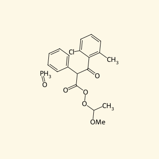 COC(C)OOC(=O)C(C(=O)c1c(C)cccc1Cl)c1ccccc1.O=[PH3]